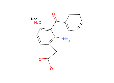 Nc1c(CC(=O)[O-])cccc1C(=O)c1ccccc1.O.[Na+]